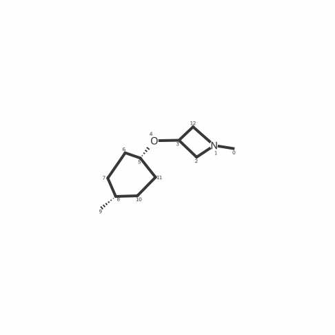 CN1CC(O[C@H]2CC[C@@H](C)CC2)C1